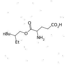 CCCCC(CC)COC(=O)C(N)CCC(=O)O